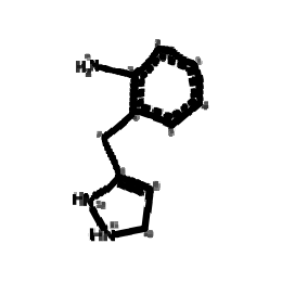 Nc1ccccc1CC1=CCNN1